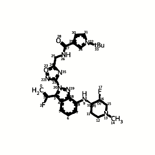 C=C(F)c1c2cccc(N[C@@H]3CCN(C)C[C@@H]3F)c2nn1-c1noc(CNC(=O)c2ccn(C(C)(C)C)c2)n1